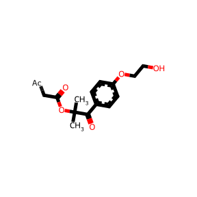 CC(=O)CC(=O)OC(C)(C)C(=O)c1ccc(OCCO)cc1